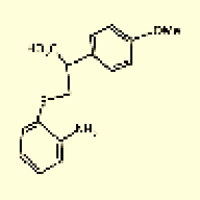 COc1ccc(C(CSc2ccccc2N)C(=O)O)cc1